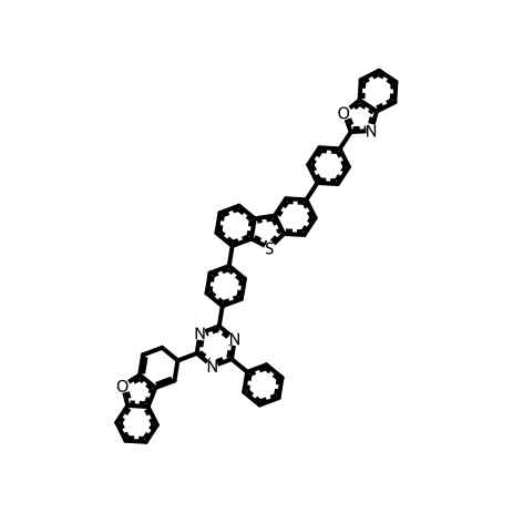 C1=c2oc3ccccc3c2=CC(c2nc(-c3ccccc3)nc(-c3ccc(-c4cccc5c4sc4ccc(-c6ccc(-c7nc8ccccc8o7)cc6)cc45)cc3)n2)C1